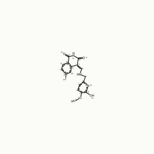 CCCOc1ccc(CN/C=C2/C(=O)NC(=O)c3ccc(I)cc32)nc1O